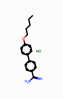 CCCCCOc1ccc(-c2ccc(C(=N)N)cc2)cc1.Cl